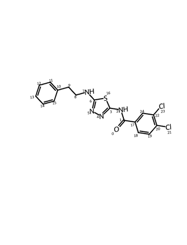 O=C(Nc1nnc(NCCc2ccccc2)s1)c1ccc(Cl)c(Cl)c1